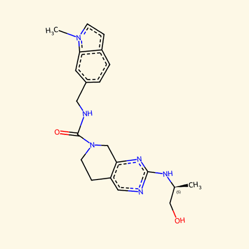 C[C@@H](CO)Nc1ncc2c(n1)CN(C(=O)NCc1ccc3ccn(C)c3c1)CC2